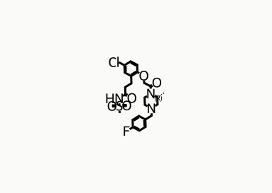 C[C@@H]1CN(Cc2ccc(F)cc2)CCN1C(=O)COc1ccc(Cl)cc1CCC(=O)NS(C)(=O)=O